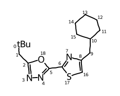 CC(C)(C)Cc1nnc(-c2nc(CC3CCCCC3)cs2)o1